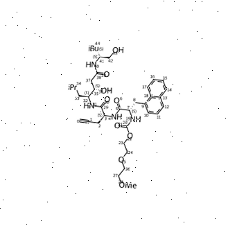 C#CC[C@H](NC(=O)[C@H](Cc1cccc2ccccc12)NC(=O)OCCOCCOC)C(=O)N[C@@H](CC(C)C)[C@@H](O)CC(=O)N[C@H](CO)[C@@H](C)CC